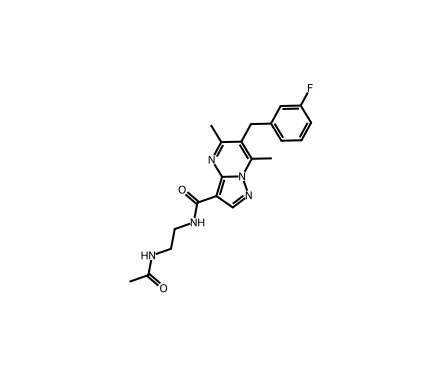 CC(=O)NCCNC(=O)c1cnn2c(C)c(Cc3cccc(F)c3)c(C)nc12